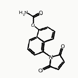 NC(=O)Oc1cccc2c(N3C(=O)C=CC3=O)cccc12